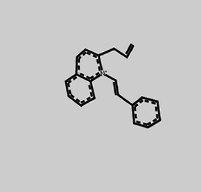 C=CCc1ccc2ccccc2[n+]1C=Cc1ccccc1